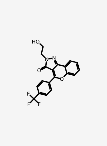 O=c1c2c(-c3ccc(C(F)(F)F)cc3)oc3ccccc3c-2nn1CCO